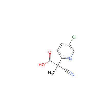 CC(C#N)(C(=O)O)c1ccc(Cl)cn1